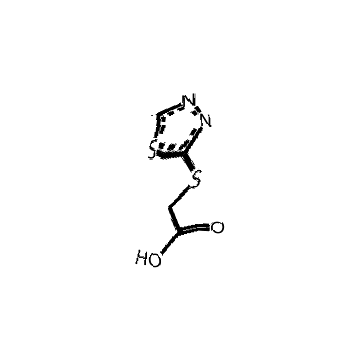 O=C(O)CSc1nn[c]s1